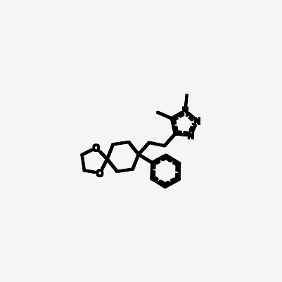 Cc1c(CCC2(c3ccccc3)CCC3(CC2)OCCO3)nnn1C